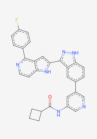 O=C(Nc1cncc(-c2ccc3[nH]nc(-c4cc5c(-c6ccc(F)cc6)nccc5[nH]4)c3c2)c1)C1CCC1